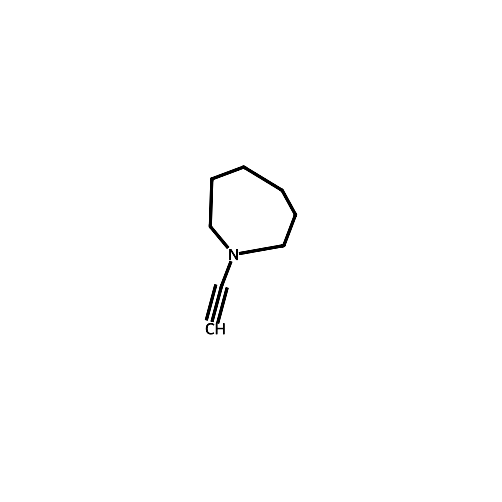 C#CN1CCCCCC1